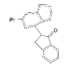 CC(C)c1cc(C2Cc3ccccc3C2=O)c2ccccc2c1